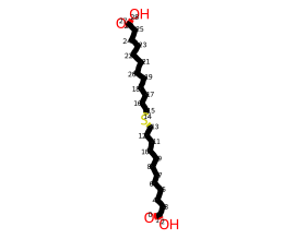 O=C(O)CCCCCCCCCCCSCCCCCCCCCCCC(=O)O